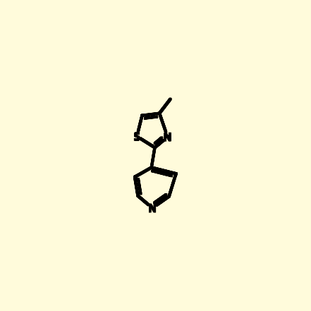 Cc1csc(-c2ccncc2)n1